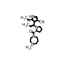 C=Nc1[nH]cc(C#N)c1/C(=C\C)N1CCC[C@H]1C(=O)N1CCCN(C)CC1